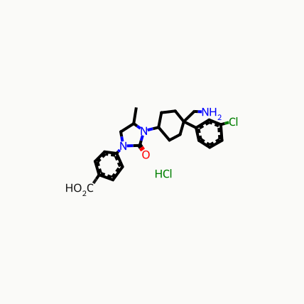 CC1CN(c2ccc(C(=O)O)cc2)C(=O)N1C1CCC(CN)(c2cccc(Cl)c2)CC1.Cl